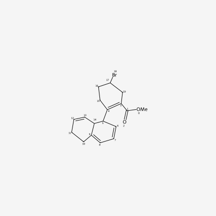 COC(=O)C1=C(C2C=CC=C3CCC=CC32)CCC(Br)C1